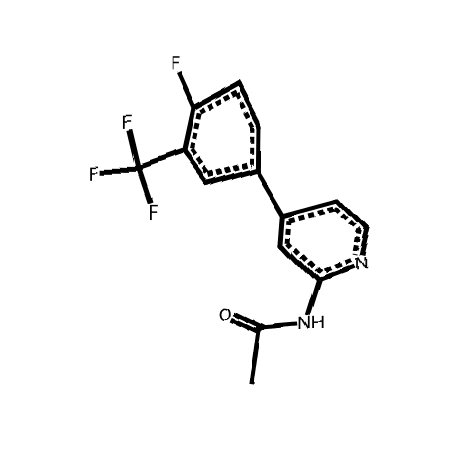 CC(=O)Nc1cc(-c2ccc(F)c(C(F)(F)F)c2)ccn1